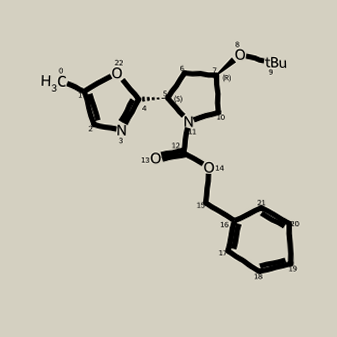 Cc1cnc([C@@H]2C[C@@H](OC(C)(C)C)CN2C(=O)OCc2ccccc2)o1